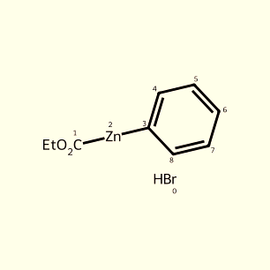 Br.CCO[C](=O)[Zn][c]1ccccc1